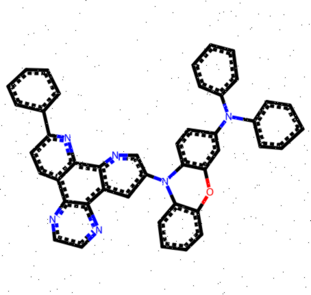 c1ccc(-c2ccc3c4nccnc4c4cc(N5c6ccccc6Oc6cc(N(c7ccccc7)c7ccccc7)ccc65)cnc4c3n2)cc1